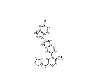 C[C@H]1CO[C@@H](CN2CCCC2)CN1c1ccc2nc(-c3n[nH]c4cc(F)ccc34)[nH]c2c1